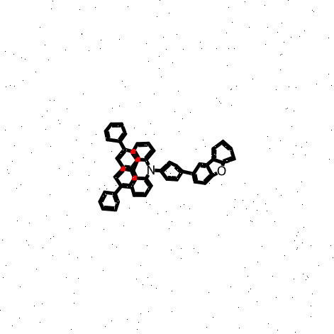 c1ccc(-c2ccc(-c3ccccc3N(c3ccc(-c4ccc5oc6ccccc6c5c4)cc3)c3ccccc3-c3ccc(-c4ccccc4)cc3)cc2)cc1